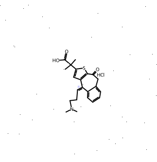 CN(C)CC/C=C1\c2ccccc2CC(=O)c2sc(C(C)(C)C(=O)O)cc21.Cl